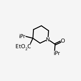 CCOC(=O)C1(C(C)C)CCCN(C(=O)C(C)C)C1